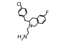 NCCN1Cc2ccc(F)cc2CC1Cc1ccc(Cl)cc1